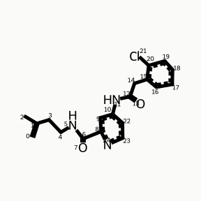 C=C(C)CCNC(=O)c1cc(NC(=O)Cc2ccccc2Cl)ccn1